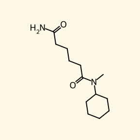 CN(C(=O)CCCCC(N)=O)C1CCCCC1